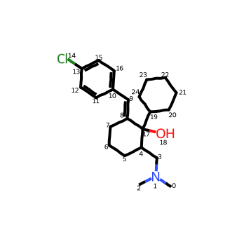 CN(C)CC1CCCC(=Cc2ccc(Cl)cc2)C1(O)C1CCCCC1